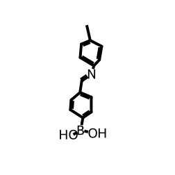 Cc1ccc(/N=C/c2ccc(B(O)O)cc2)cc1